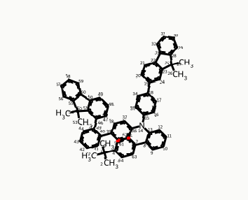 CC(C)(C)c1ccc(-c2ccccc2N(c2ccc(-c3ccc4c(c3)C(C)(C)c3ccccc3-4)cc2)c2ccc(-c3ccccc3-c3cccc4c3C(C)(C)c3ccccc3-4)cc2)cc1